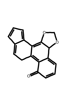 O=C1C=CC=C2C1=C1CC=C3C=CC=C3C1=C1OCOC21